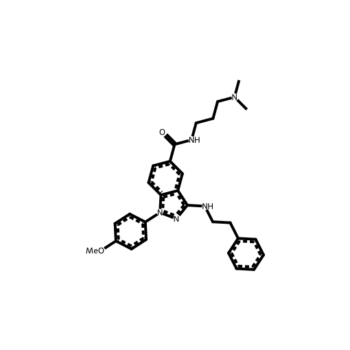 COc1ccc(-n2nc(NCCc3ccccc3)c3cc(C(=O)NCCCN(C)C)ccc32)cc1